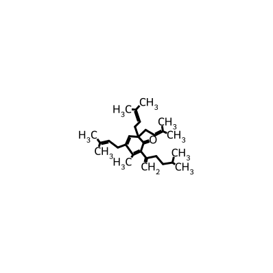 C=C(CCC(C)C)C1=C(C)C(CC=C(C)C)=CC(CC=C(C)C)(CC=C(C)C)C1=O